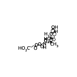 C[C@H](CCC(=O)NCC(=O)OCOC(=O)CCCC(=O)O)C1CCC2C3CC[C@@H]4C[C@H](O)CC[C@]4(C)C3C[C@H](O)[C@@]21C